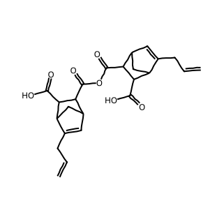 C=CCC1=CC2CC1C(C(=O)O)C2C(=O)OC(=O)C1C2C=C(CC=C)C(C2)C1C(=O)O